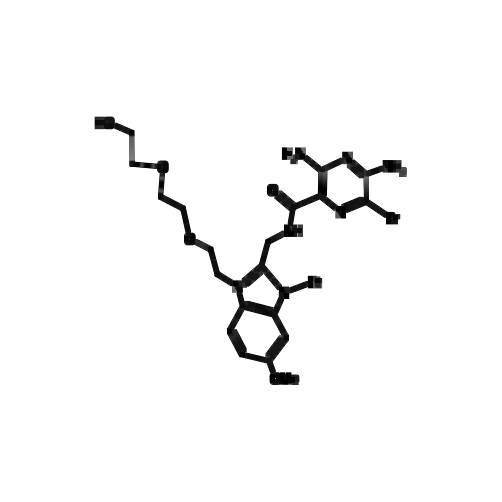 CCn1c(CNC(=O)c2nc(Br)c(N)nc2N)[n+](CCOCCOCCO)c2ccc(OC)cc21